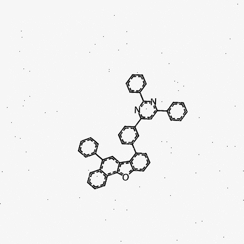 c1ccc(-c2cc(-c3cccc(-c4cccc5oc6c7ccccc7c(-c7ccccc7)cc6c45)c3)nc(-c3ccccc3)n2)cc1